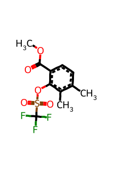 COC(=O)c1ccc(C)c(C)c1OS(=O)(=O)C(F)(F)F